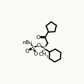 CCCCS(=O)(=O)OS(C)(CC(=O)C1CCCC1)C1CCCCC1